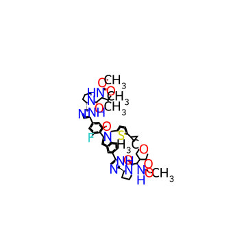 COC(=O)NC(C(=O)N1CCC[C@H]1c1ncc(-c2ccc3c(c2)cc2n3C(c3ccc(C4CC4)s3)Oc3cc(-c4cnc([C@@H]5CCCN5C(=O)[C@@H](NC(=O)OC)C(C)C)[nH]4)cc(F)c3-2)[nH]1)C1CCO[C@H](C)C1